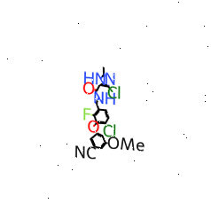 COc1cc(C#N)cc(Oc2c(Cl)ccc(CNC(=O)c3[nH]c(C)nc3Cl)c2F)c1